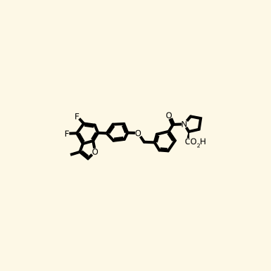 Cc1coc2c(-c3ccc(OCc4cccc(C(=O)N5CCC[C@H]5C(=O)O)c4)cc3)cc(F)c(F)c12